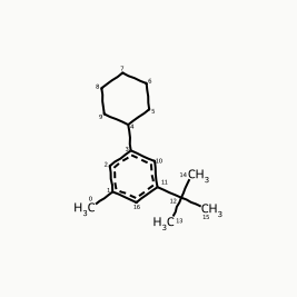 Cc1cc(C2CCCCC2)cc(C(C)(C)C)c1